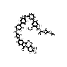 Cc1cc(-c2ccnc(Nc3ccc(C4CCN(CC5CN(c6ccc7c(c6)C(=O)N(C6CCC(=O)NC6=O)C7=O)C5)CC4)cc3)n2)ccc1CNC(=O)N1CC(OC(C)C)C1